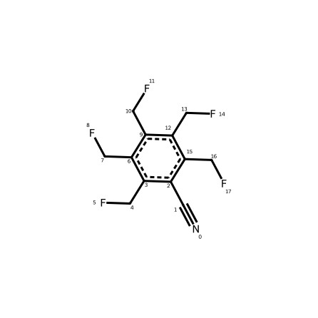 N#Cc1c(CF)c(CF)c(CF)c(CF)c1CF